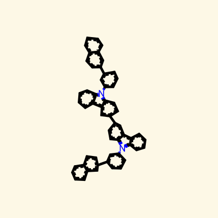 c1cc(-c2ccc3ccccc3c2)cc(-n2c3ccccc3c3cc(-c4ccc5c(c4)c4ccccc4n5-c4cccc(-c5ccc6ccccc6c5)c4)ccc32)c1